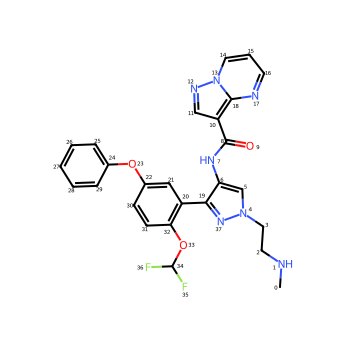 CNCCn1cc(NC(=O)c2cnn3cccnc23)c(-c2cc(Oc3ccccc3)ccc2OC(F)F)n1